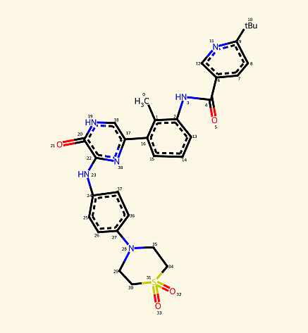 Cc1c(NC(=O)c2ccc(C(C)(C)C)nc2)cccc1-c1c[nH]c(=O)c(Nc2ccc(N3CCS(=O)(=O)CC3)cc2)n1